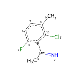 CC(=N)c1c(F)ccc(C)c1Cl